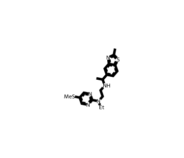 CCN(CCNC(C)c1ccc2sc(C)nc2c1)c1ncc(SC)cn1